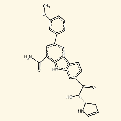 COc1cccc(-c2cc(C(N)=O)c3[nH]c4cc(C(=O)C(O)[C@@H]5CC=CN5)ccc4c3c2)c1